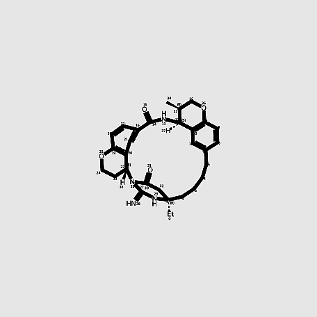 CC[C@]12CCCCc3ccc4c(c3)[C@@H](NC(=O)c3ccc5c(c3)[C@@H](CCO5)N(C(=N)N1)C(=O)C2)[C@@H](C)CO4